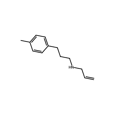 C=CCNCCCc1ccc(C)cc1